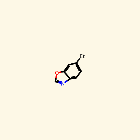 CCc1ccc2ncoc2c1